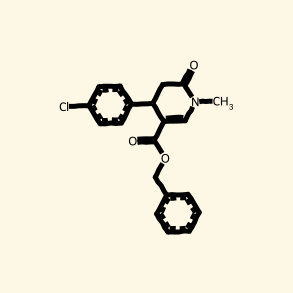 CN1C=C(C(=O)OCc2ccccc2)C(c2ccc(Cl)cc2)CC1=O